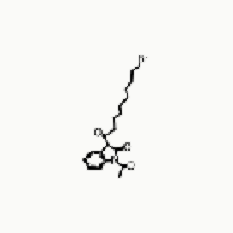 CC(=O)N1C(=O)C(C(=O)CCCCCCCCCBr)c2ccccc21